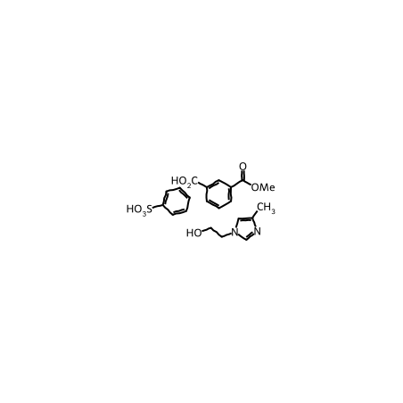 COC(=O)c1cccc(C(=O)O)c1.Cc1cn(CCO)cn1.O=S(=O)(O)c1ccccc1